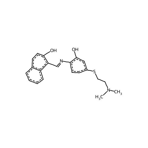 CN(C)CCSc1ccc(N=Cc2c(O)ccc3ccccc23)c(O)c1